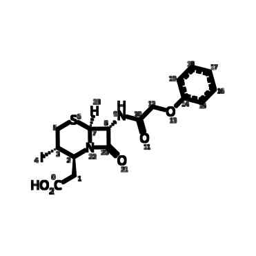 O=C(O)C[C@H]1[C@H](I)CS[C@H]2[C@H](NC(=O)COc3ccccc3)C(=O)N12